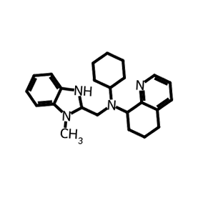 CN1c2ccccc2NC1CN(C1CCCCC1)C1CCCc2cccnc21